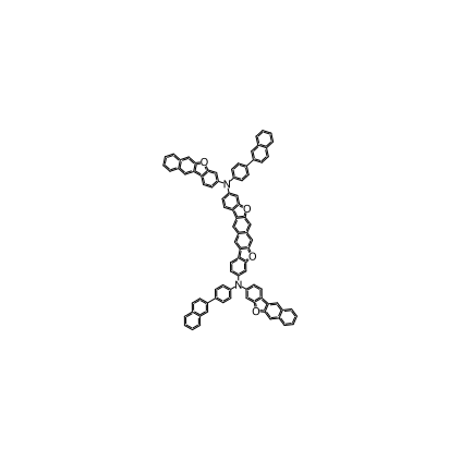 c1ccc2cc(-c3ccc(N(c4ccc5c(c4)oc4cc6ccccc6cc45)c4ccc5c(c4)oc4cc6cc7oc8cc(N(c9ccc(-c%10ccc%11ccccc%11c%10)cc9)c9ccc%10c(c9)oc9cc%11ccccc%11cc9%10)ccc8c7cc6cc45)cc3)ccc2c1